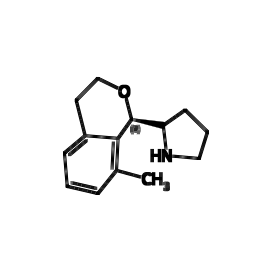 Cc1cccc2c1[C@H](C1CCCN1)OCC2